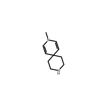 CN1C=CC2(C=C1)CCNCC2